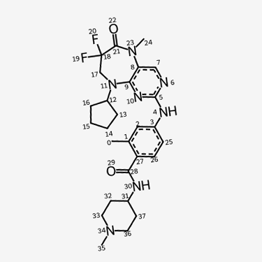 Cc1cc(Nc2ncc3c(n2)N(C2CCCC2)CC(F)(F)C(=O)N3C)ccc1C(=O)NC1CCN(C)CC1